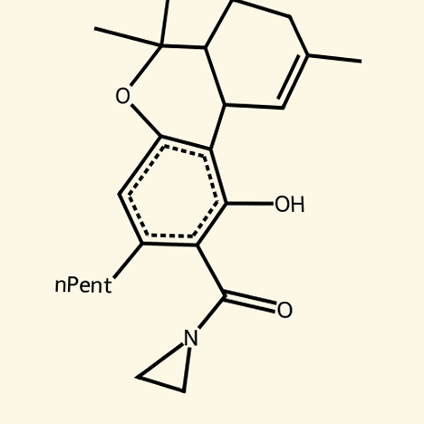 CCCCCc1cc2c(c(O)c1C(=O)N1CC1)C1C=C(C)CCC1C(C)(C)O2